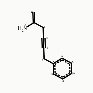 C=C(N)CC#CCc1ccccc1